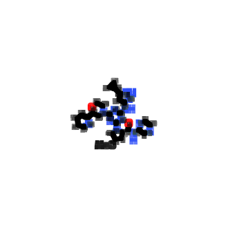 CO[C@H]1C[C@@H](C(=O)Nc2cnccn2)N(c2nc(Nc3cc(C4CC4)[nH]n3)nc(N3CCOC(c4ccccn4)C3)n2)C1